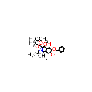 CC(C)CN1C=C2CC(=O)C(OCc3ccccc3)C=C2C(O)=C1C(=O)OC(C)(C)C